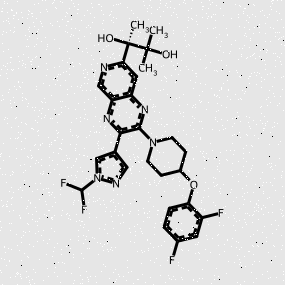 CC(C)(O)[C@](C)(O)c1cc2nc(N3CCC(Oc4ccc(F)cc4F)CC3)c(-c3cnn(C(F)F)c3)nc2cn1